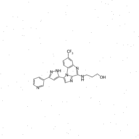 OCCCNc1nc2cc(C(F)(F)F)ccc2n2c(-c3cc(-c4cccnc4)n[nH]3)cnc12